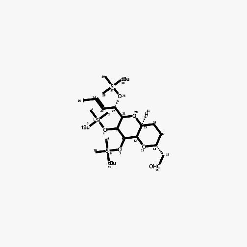 CC(C)(C)[Si](C)(C)OC1C(O[Si](C)(C)C(C)(C)C)C2O[C@@H](CC=O)CC[C@@H]2OC1[C@H](/C=C/I)O[Si](C)(C)C(C)(C)C